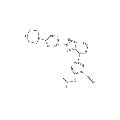 CC(C)Oc1ccc(-c2cccc3[nH]c(-c4ccc(N5CCOCC5)cc4)cc23)cc1C#N